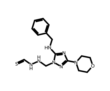 S=CNNCn1nc(N2CCOCC2)nc1NCc1ccccc1